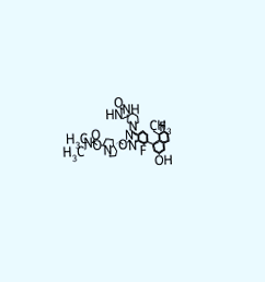 CCc1c(F)ccc2cc(O)cc(-c3ccc4c(N5CCCC6(CNC(=O)N6)C5)nc(OC[C@]56CCCN5[C@@H](OC(=O)N(C)CC)CC6)nc4c3F)c12